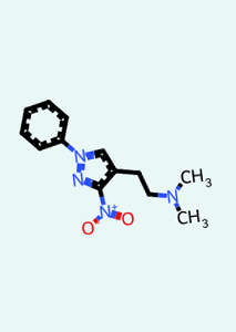 CN(C)CCc1cn(-c2ccccc2)nc1[N+](=O)[O-]